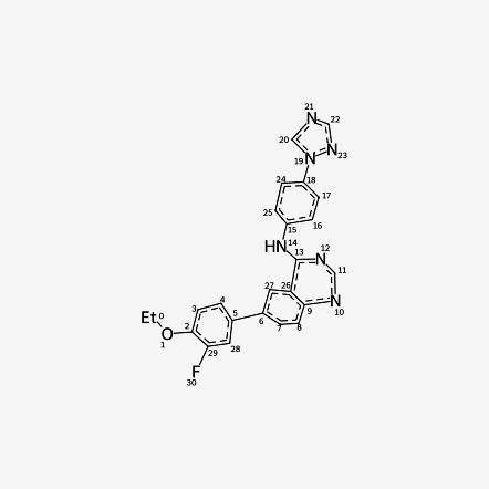 CCOc1ccc(-c2ccc3ncnc(Nc4ccc(-n5cncn5)cc4)c3c2)cc1F